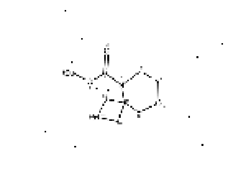 CC(C)(C)OC(=O)N1CCOCC12CNC2